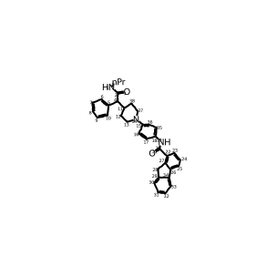 CCCNC(=O)C(c1ccccc1)C1CCN(c2ccc(NC(=O)c3cccc4c3Cc3ccccc3-4)cc2)CC1